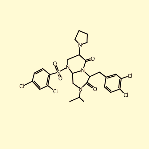 CC(C)N1CC2N(C(=O)C(N3CCCC3)CN2S(=O)(=O)c2ccc(Cl)cc2Cl)C(Cc2ccc(Cl)c(Cl)c2)C1=O